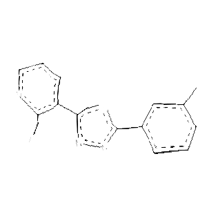 Fc1cccc(-c2nnc(-c3cccnc3F)o2)c1